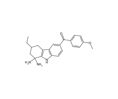 CCC1Cc2c([nH]c3ccc(C(=O)c4ccc(OC)cc4)cc23)C(N)(N)C1